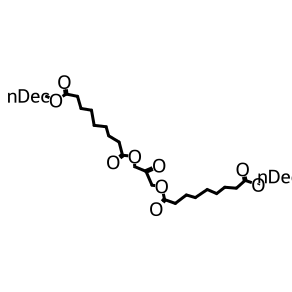 CCCCCCCCCCOC(=O)CCCCCCCC(=O)OCC(=O)COC(=O)CCCCCCCC(=O)OCCCCCCCCCC